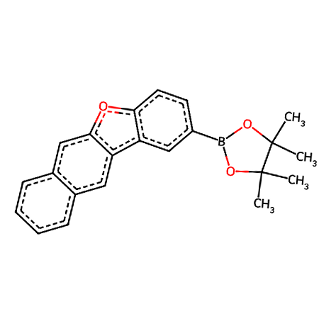 CC1(C)OB(c2ccc3oc4cc5ccccc5cc4c3c2)OC1(C)C